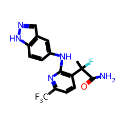 CC(F)(C(N)=O)c1ccc(C(F)(F)F)nc1Nc1ccc2[nH]ncc2c1